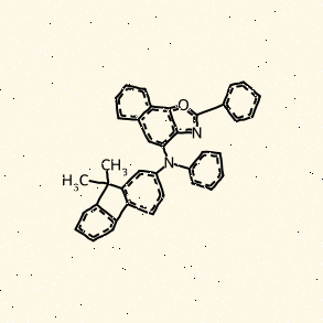 CC1(C)c2ccccc2-c2ccc(N(c3ccccc3)c3cc4ccccc4c4oc(-c5ccccc5)nc34)cc21